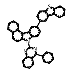 c1ccc(-c2nc(-n3c4ccc(-c5ccc6sc7ccccc7c6c5)cc4c4c5ccccc5ccc43)nc3ccccc23)cc1